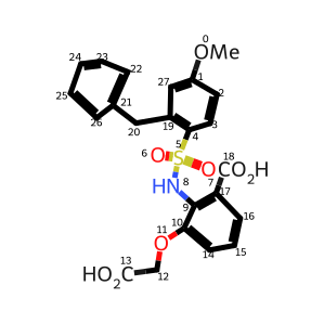 COc1ccc(S(=O)(=O)Nc2c(OCC(=O)O)cccc2C(=O)O)c(Cc2ccccc2)c1